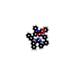 c1ccc(-n2c3ccccc3c3cc(-c4c5ccccc5cc5c6cc7ccccc7c7c8c9c%10cccc%11c%12cccc(-c%13ccc%14c(c%13)c%13ccccc%13n%14-c%13ccccc%13)c%12n(c9ncc8n(c45)c67)c%11%10)ccc32)cc1